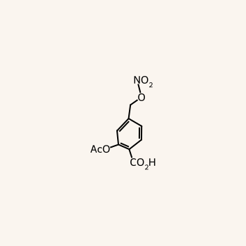 CC(=O)Oc1cc(CO[N+](=O)[O-])ccc1C(=O)O